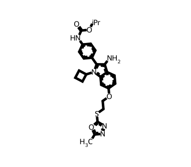 Cc1nnc(SCCOc2ccc3c(N)c(-c4ccc(NC(=O)OC(C)C)cc4)n(C4CCC4)c3c2)o1